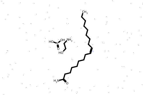 CCCCCCCC/C=C\CCCCCCCC(N)=O.NCCO.O=S(O)O